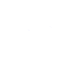 COc1cc2c(cc1OC)C(CCN1CCCC1)CNC2=S